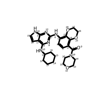 O=C(c1ccc(Nc2nc(NC3CCCCC3)c3cc[nH]c3n2)c2c1OCCO2)N1CCOCC1